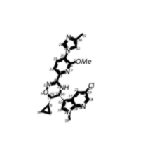 COc1nc(C2=NO[C@@H](C3CC3)[C@@H](c3cn(C)c4ncc(Cl)cc34)N2)ccc1-n1cnc(C)c1